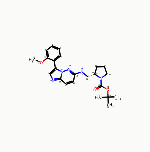 COc1ccccc1-c1cnc2ccc(NC[C@@H]3CCCN3C(=O)OC(C)(C)C)nn12